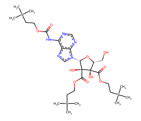 C[Si](C)(C)CCOC(=O)Nc1ncnc2c1ncn2[C@@H]1O[C@H](CO)[C@](O)(C(=O)OCC[Si](C)(C)C)[C@]1(O)C(=O)OCC[Si](C)(C)C